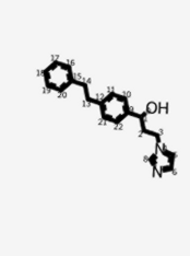 OC(CCn1ccnc1)c1ccc(CCc2ccccc2)cc1